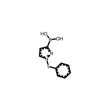 OB(O)c1ccn(Sc2ccccc2)n1